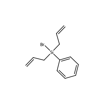 C=CC[Si](Br)(CC=C)c1ccccc1